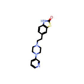 O=c1[nH]c2ccc(CCN3CCN(c4cccnc4)CC3)cc2s1